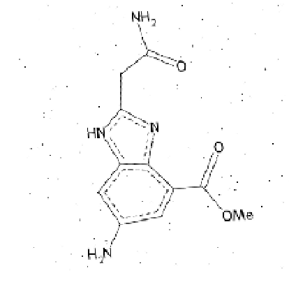 COC(=O)c1cc(N)cc2[nH]c(CC(N)=O)nc12